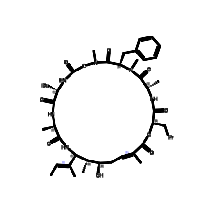 C/C=C(\C)[C@H]1NC(=O)[C@@H](C)NC(=O)[C@H](C(C)CC)NC(=O)CN(C)C(=O)[C@@H](Cc2ccccc2)N(C)C(=O)[C@H](C)NC(=O)[C@@H](CC(C)C)OC(=O)/C(C)=C/C[C@@H](O)[C@@H]1C